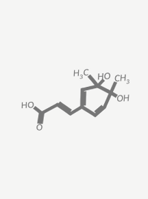 CC1(O)C=CC(/C=C/C(=O)O)=CC1(C)O